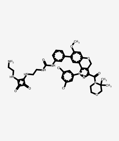 COc1cc2c(cc1-c1cccc(NC(=O)NCCNc3c(NCCN)c(=O)c3=O)c1)-c1c(c(C(=O)N3CCOCC3(C)C)nn1-c1cc(Cl)cc(Cl)c1)CO2